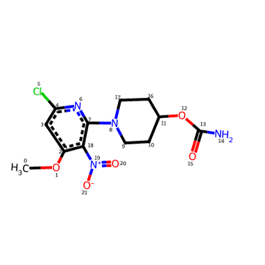 COc1cc(Cl)nc(N2CCC(OC(N)=O)CC2)c1[N+](=O)[O-]